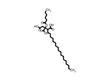 CCCCCCCCCCCCCCCCCCC(C(=O)O)C(CC(=O)O)(OC(=O)CCCCC)C(=O)O